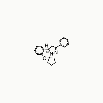 c1ccc(C2=NN3[C@@H](C2)c2ccccc2OC32CCCC2)cc1